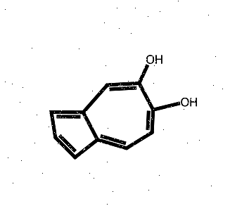 Oc1ccc2cccc-2cc1O